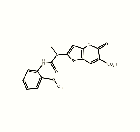 CN(C(=O)Nc1ccccc1OC(F)(F)F)c1cc2oc(=O)c(C(=O)O)cc2s1